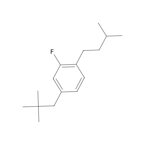 CC(C)CCc1ccc(CC(C)(C)C)cc1F